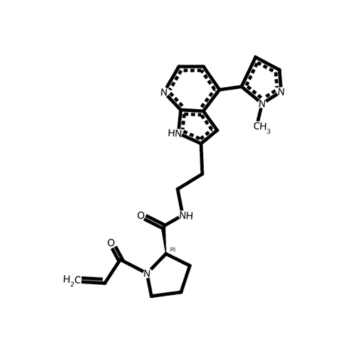 C=CC(=O)N1CCC[C@@H]1C(=O)NCCc1cc2c(-c3ccnn3C)ccnc2[nH]1